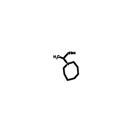 CCCCCCC(C)N1CCCCCCC1